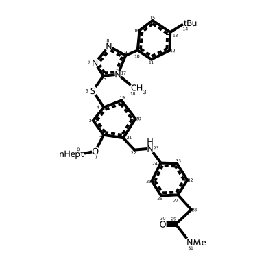 CCCCCCCOc1cc(Sc2nnc(-c3ccc(C(C)(C)C)cc3)n2C)ccc1CNc1ccc(CC(=O)NC)cc1